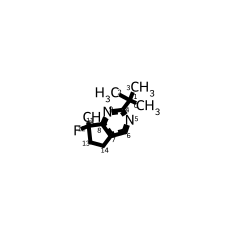 CC(C)(C)c1ncc2c(n1)C(C)(F)CC2